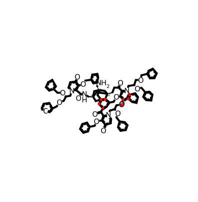 NC[C@@]12C[C@@]3(CCC(=O)c4c(OCc5ccccc5)c(=O)ccn4CC(COCc4ccccc4)OCc4ccccc4)C[C@@](CCC(=O)c4c(OCc5ccccc5)c(=O)ccn4CC(COCc4ccccc4)OCc4ccccc4)(C1)C[C@@](CNC(=O)c1c(OCc4ccccc4)c(=O)ccn1CC(COCc1ccccc1)OCc1ccccc1)(C2)C3